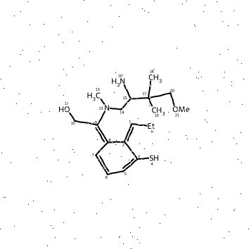 CC/C=c1\c(S)ccc\c1=C(/CO)N(C)CC(N)C(C)(C)COC